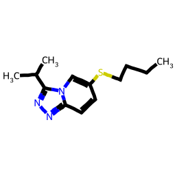 CCCCSc1ccc2nnc(C(C)C)n2c1